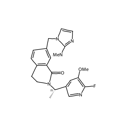 CNc1nccn1Cc1ccc2c(c1)C(=O)N([C@@H](C)c1cnc(F)c(OC)c1)CC2